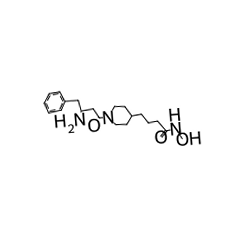 NC(CC(=O)N1CCC(CCCC(=O)NO)CC1)Cc1ccccc1